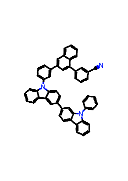 N#Cc1cccc(-c2cc(-c3cccc(-n4c5ccccc5c5cc(-c6ccc7c8ccccc8n(-c8ccccc8)c7c6)ccc54)c3)cc3ccccc23)c1